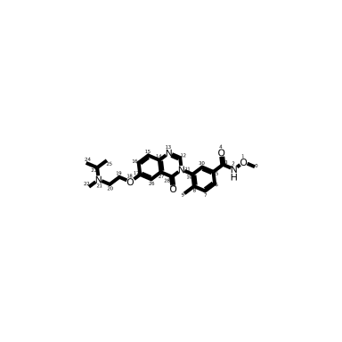 CONC(=O)c1ccc(C)c(-n2cnc3ccc(OCCN(C)C(C)C)cc3c2=O)c1